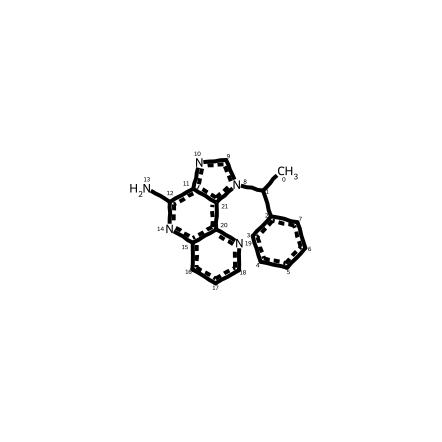 CC(c1ccccc1)n1cnc2c(N)nc3cccnc3c21